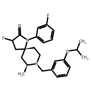 CC(C)Oc1cccc(CN2CC[C@]3(CC(F)C(=O)N3c3cccc(F)c3)C[C@@H]2C)c1